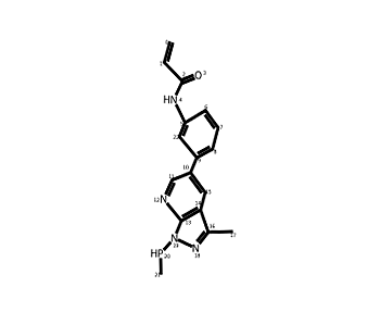 C=CC(=O)Nc1cccc(-c2cnc3c(c2)c(C)nn3PC)c1